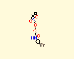 CC(C)c1ccc(NC(=O)CCOCCOCCN2C(=O)CC(C)(C3CCC3)C2=O)cc1